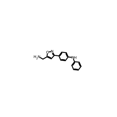 NCc1cc(-c2ccc(Nc3ccccc3)cc2)no1